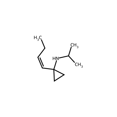 CC/C=C\C1(NC(C)C)CC1